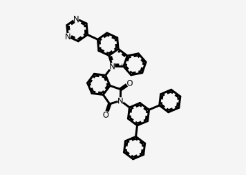 O=C1c2cccc(-n3c4ccccc4c4ccc(-c5cncnc5)cc43)c2C(=O)N1c1cc(-c2ccccc2)cc(-c2ccccc2)c1